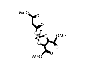 COC(=O)CC(=O)OP1(F)(F)OC(C(=O)OC)C(C(=O)OC)O1